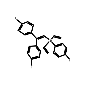 C=C[Si](C=C)(C=C(c1ccc(F)cc1)c1ccc(F)cc1)c1ccc(F)cc1